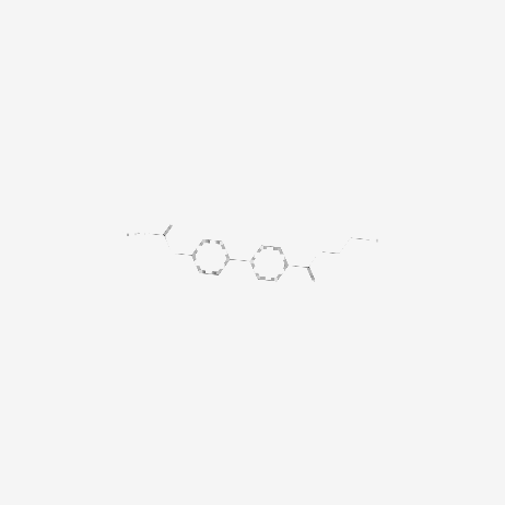 CCCCCCC(=O)Oc1ccc(-c2ccc(C(=O)OCCC(C)CC)cc2)cc1